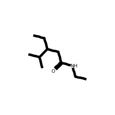 CCNC(=O)CC(CC)C(C)C